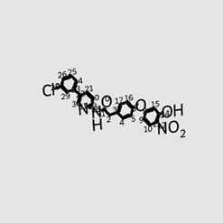 O=C(Cc1ccc(Oc2ccc([N+](=O)[O-])c(O)c2)cc1)Nc1ccc(-c2cccc(Cl)c2)cn1